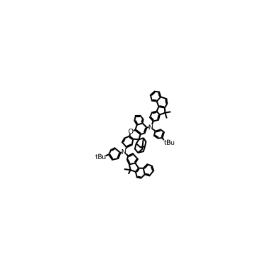 CC(C)(C)c1ccc(N(c2ccc3c(c2)C(C)(C)c2ccc4ccccc4c2-3)c2ccc3c(c2)C2(c4cc(N(c5ccc(C(C)(C)C)cc5)c5ccc6c(c5)C(C)(C)c5ccc7ccccc7c5-6)c5ccccc5c4O3)C3CC4CC(C3)CC2C4)cc1